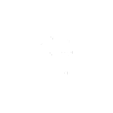 Cc1ccc(Nc2cc(Cl)cnc2Br)c(C(=O)O)c1